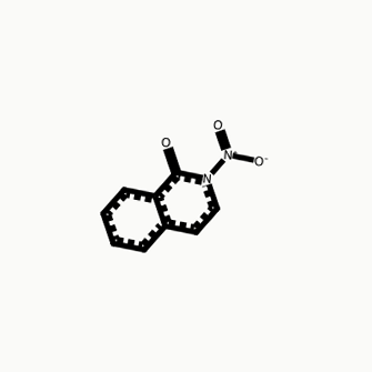 O=c1c2ccccc2ccn1[N+](=O)[O-]